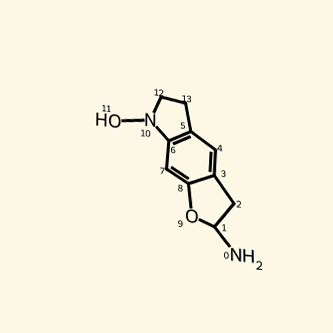 NC1Cc2cc3c(cc2O1)N(O)CC3